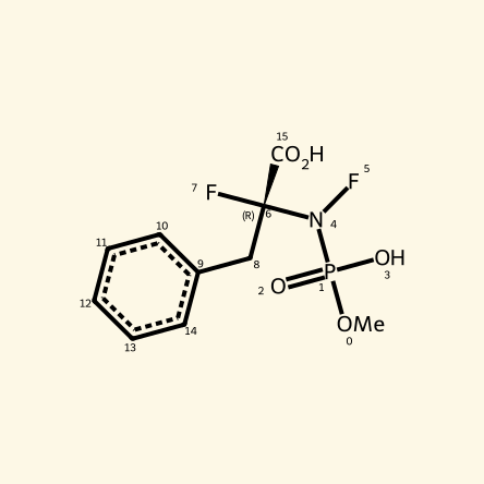 COP(=O)(O)N(F)[C@@](F)(Cc1ccccc1)C(=O)O